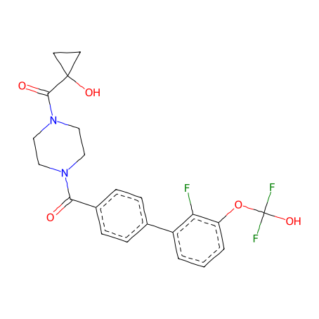 O=C(c1ccc(-c2cccc(OC(O)(F)F)c2F)cc1)N1CCN(C(=O)C2(O)CC2)CC1